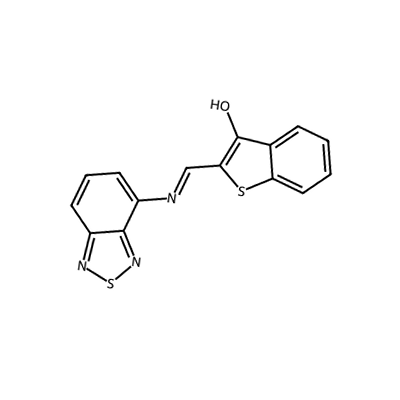 Oc1c(C=Nc2cccc3nsnc23)sc2ccccc12